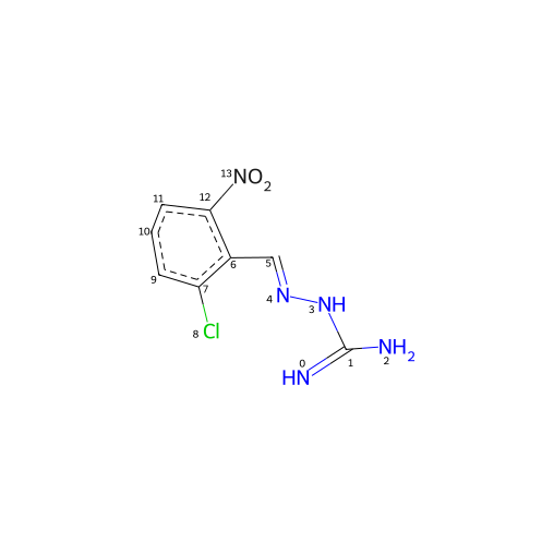 N=C(N)N/N=C/c1c(Cl)cccc1[N+](=O)[O-]